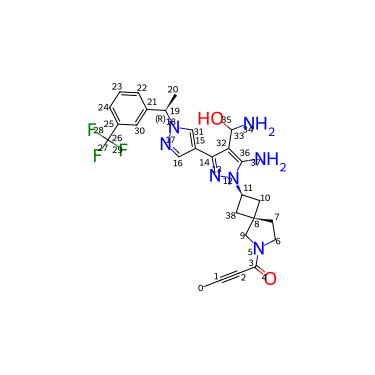 CC#CC(=O)N1CC[C@]2(C1)C[C@H](n1nc(-c3cnn([C@H](C)c4cccc(C(F)(F)F)c4)c3)c(C(N)O)c1N)C2